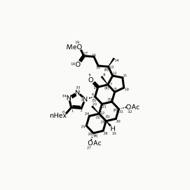 CCCCCCc1cn([C@@H]2C(=O)[C@@]3(C)C(CCC3[C@H](C)CCC(=O)OC)C3C2[C@@]2(C)CC[C@@H](OC(C)=O)C[C@H]2C[C@H]3OC(C)=O)nn1